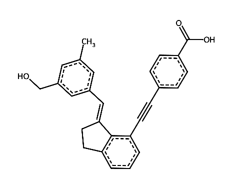 Cc1cc(/C=C2\CCc3cccc(C#Cc4ccc(C(=O)O)cc4)c32)cc(CO)c1